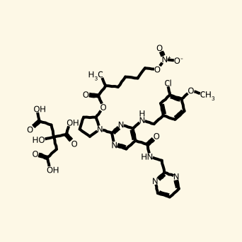 COc1ccc(CNc2nc(N3CCCC3OC(=O)C(C)CCCCO[N+](=O)[O-])ncc2C(=O)NCc2ncccn2)cc1Cl.O=C(O)CC(O)(CC(=O)O)C(=O)O